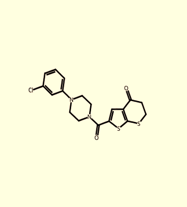 O=C1CCSc2sc(C(=O)N3CCN(c4cccc(Cl)c4)CC3)cc21